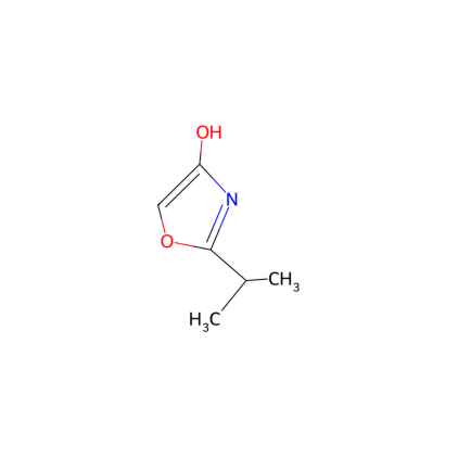 CC(C)c1nc(O)co1